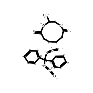 CC1COC(=O)CCCCC(=O)O1.O=C=NC(N=C=O)(c1ccccc1)c1ccccc1